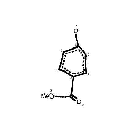 COC(=O)c1ccc([O])cc1